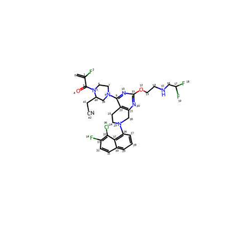 C=C(F)C(=O)N1CCN(c2nc(OCCNCC(F)F)nc3c2CCN(c2cccc4ccc(F)c(Cl)c24)C3)CC1CC#N